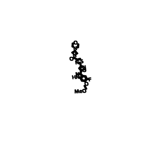 COCCOc1cc2[nH]nc(-c3cc(-c4nc(C(=O)N5CC(N6CCOCC6)C5)cs4)no3)c2cc1F